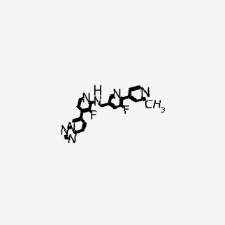 Cc1cc(-c2ncc(CNc3nccc(-c4ccc5ncnn5c4)c3F)cc2F)ccn1